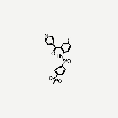 CS(=O)(=O)c1ccc([S+]([O-])Nc2ccc(Cl)cc2C(=O)c2ccncc2)cc1